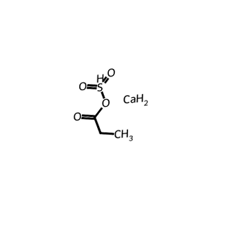 CCC(=O)O[SH](=O)=O.[CaH2]